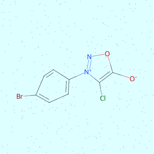 [O-]c1on[n+](-c2ccc(Br)cc2)c1Cl